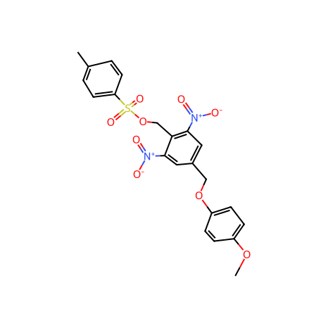 COc1ccc(OCc2cc([N+](=O)[O-])c(COS(=O)(=O)c3ccc(C)cc3)c([N+](=O)[O-])c2)cc1